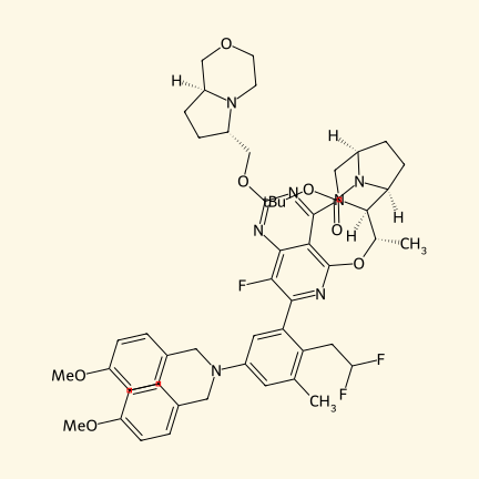 COc1ccc(CN(Cc2ccc(OC)cc2)c2cc(C)c(CC(F)F)c(-c3nc4c5c(nc(OC[C@@H]6CC[C@H]7COCCN76)nc5c3F)N3C[C@H]5CC[C@@H]([C@H]3[C@H](C)O4)N5C(=O)OC(C)(C)C)c2)cc1